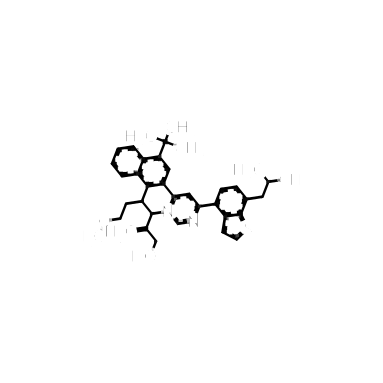 C=C(CO)C1C(CCOC)c2c(cc(C(C)(C)C)c3ccccc23)-c2cc(-c3ccc(CC(C)C)c4sccc34)nc[n+]21